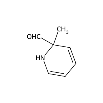 CC1(C=O)C=CC=CN1